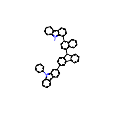 c1ccc(-n2c3ccccc3c3ccc(-c4ccc5c(c4)-c4ccccc4C5c4ccc(-c5cccc6c5[nH]c5ccccc56)c5ccccc45)cc32)cc1